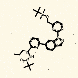 CCC[C@H](N[S@+]([O-])C(C)(C)C)c1cccc(-c2ccc3cnn(-c4nccc(CO[Si](C)(C)C(C)(C)C)n4)c3c2)n1